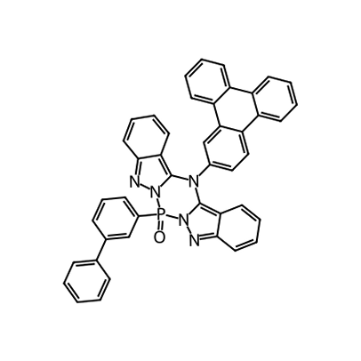 O=P1(c2cccc(-c3ccccc3)c2)n2nc3ccccc3c2N(c2ccc3c4ccccc4c4ccccc4c3c2)c2c3ccccc3nn21